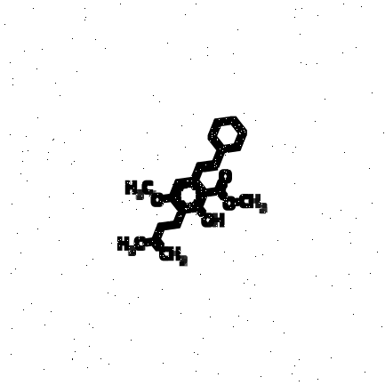 C=C(C)CCc1c(OC)cc(/C=C/C2CCCCC2)c(C(=O)OC)c1O